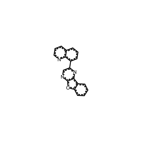 c1cnc2c(-c3cnc4oc5ccccc5c4n3)cccc2c1